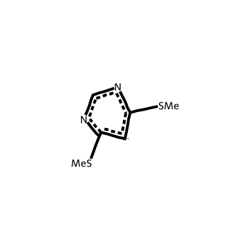 CSc1[c]c(SC)ncn1